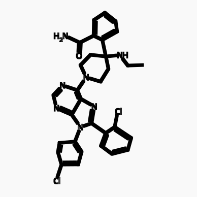 CCNC1(c2ccccc2C(N)=O)CCN(c2ncnc3c2nc(-c2ccccc2Cl)n3-c2ccc(Cl)cc2)CC1